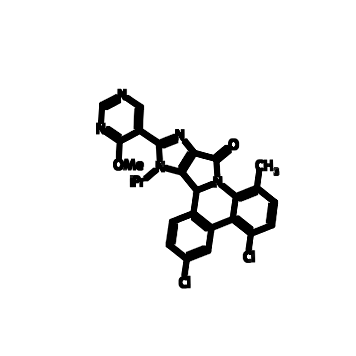 COc1ncncc1-c1nc2c(n1C(C)C)C1c3ccc(Cl)cc3-c3c(Cl)ccc(C)c3N1C2=O